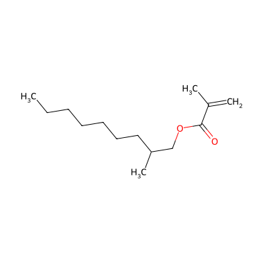 C=C(C)C(=O)OCC(C)CCCCCCC